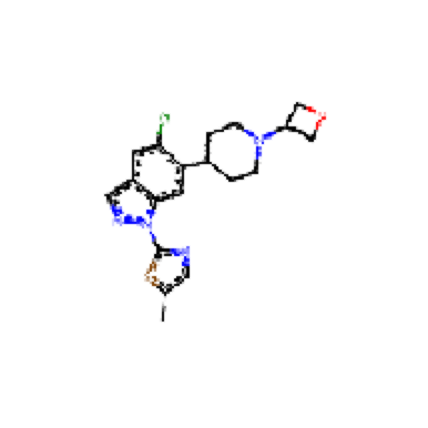 Cc1cnc(-n2ncc3cc(Cl)c(C4CCN(C5COC5)CC4)cc32)s1